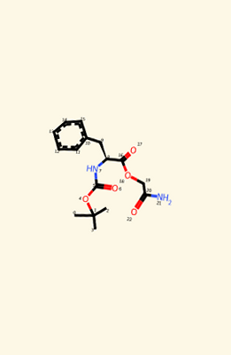 CC(C)(C)OC(=O)N[C@@H](Cc1ccccc1)C(=O)OCC(N)=O